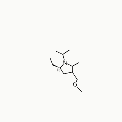 CC[C@@H]1CC(COC)C(C)N1C(C)C